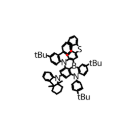 CC(C)(C)c1ccc(N2c3ccc(C(C)(C)C)cc3B3c4cc5sc6ccccc6c5cc4N(c4ccc(C(C)(C)C)cc4-c4ccccc4)c4cc(N5c6ccccc6C6(C)CCCCC56C)cc2c43)cc1